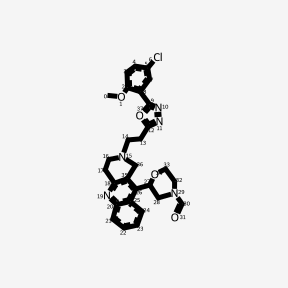 COc1ccc(Cl)cc1-c1nnc(CCN2CCc3nc4ccccc4c(C4CN(C=O)CCO4)c3C2)o1